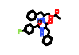 CC(=O)OCC(Cc1ccccc1)NC(=O)C(Cc1ccccc1)NC(=O)c1ccc(F)cc1